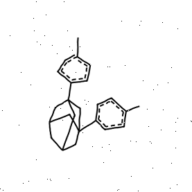 Cc1ccc(C23CC4CC(C2)CC(c2ccc(C)cc2)(C4)C3)cc1